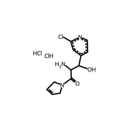 Cl.Cl.NC(C(=O)N1CC=CC1)C(O)c1ccnc(Cl)c1